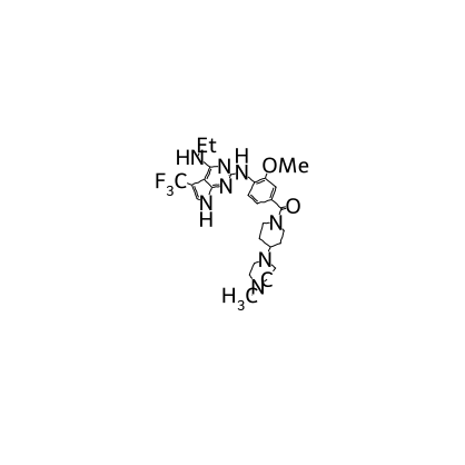 CCNc1nc(Nc2ccc(C(=O)N3CCC(N4CCN(C)CC4)CC3)cc2OC)nc2[nH]cc(C(F)(F)F)c12